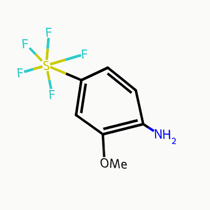 COc1cc(S(F)(F)(F)(F)F)ccc1N